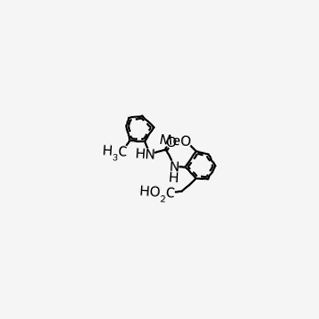 COc1cccc(CC(=O)O)c1NC(=O)Nc1ccccc1C